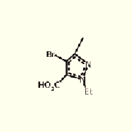 CCn1nc(C)c(Br)c1C(=O)O